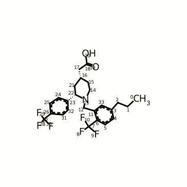 CCCc1ccc(C(F)(F)F)c(CN2CC[C@@H](CC(=O)O)C[C@H]2c2ccc(C(F)(F)F)cc2)c1